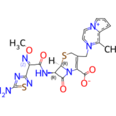 CO/N=C(\C(=O)N[C@@H]1C(=O)N2C(C(=O)[O-])=C(Cn3cc[n+]4cccc-4c3C)CS[C@H]12)c1nsc(N)n1